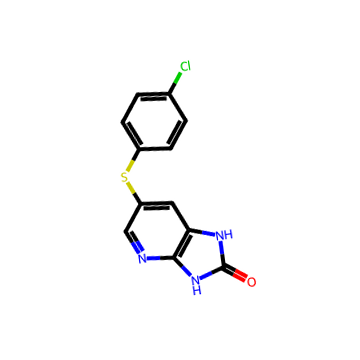 O=c1[nH]c2cc(Sc3ccc(Cl)cc3)cnc2[nH]1